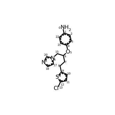 Nc1ccc(OC(CCc2ccc(Cl)s2)Cn2ccnc2)cc1